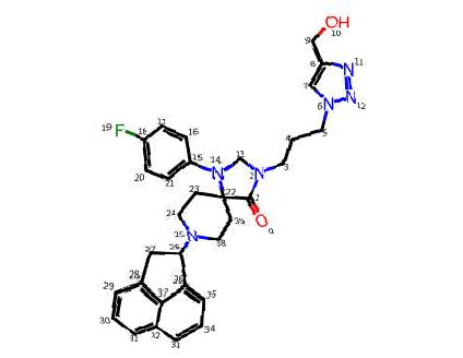 O=C1N(CCCn2cc(CO)nn2)CN(c2ccc(F)cc2)C12CCN(C1Cc3cccc4cccc1c34)CC2